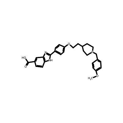 COc1ccc(CN2CCC(CCOc3ccc(-c4nc5cc(C(=O)O)ccc5[nH]4)cc3)CC2)cc1